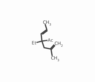 C=C(C)CC(/C=C/C)(CC)C(C)=O